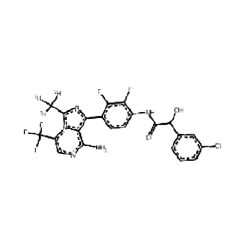 [2H]C([2H])([2H])c1nc(-c2ccc(NC(=O)C(O)c3cccc(Cl)c3)c(F)c2F)c2c(N)ncc(C(F)(F)F)n12